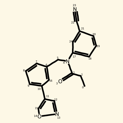 CCC(=O)N(Cc1cccc(-c2cnoc2)c1)c1cccc(C#N)c1